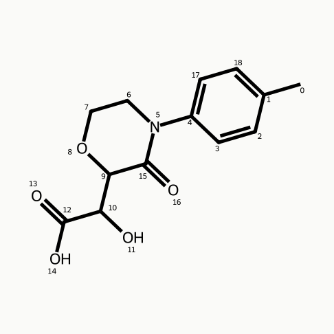 Cc1ccc(N2CCOC(C(O)C(=O)O)C2=O)cc1